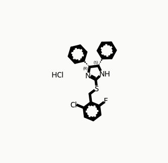 Cl.Fc1cccc(Cl)c1CSC1=N[C@H](c2ccccc2)[C@H](c2ccccc2)N1